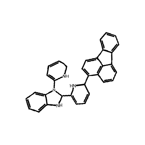 C1=CCNC(N2c3ccccc3NC2C2=CC=CC(c3ccc4c5c(cccc35)-c3ccccc3-4)N2)=C1